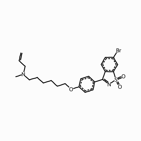 C=CCN(C)CCCCCCOc1ccc(C2=NS(=O)(=O)c3cc(Br)ccc32)cc1